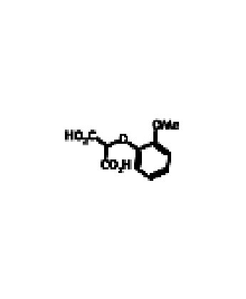 COc1ccccc1OC(C(=O)O)C(=O)O